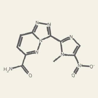 Cn1c([N+](=O)[O-])cnc1-c1nnc2ccc(C(N)=O)nn12